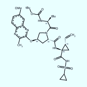 C=C[C@@H]1C[C@]1(NC(=O)[C@@H]1C[C@@H](Oc2nc3cc(OC)ccc3nc2C)CN1C(=O)[C@@H](NC(=O)OC(C)(C)C)C(C)(C)C)C(=O)NS(=O)(=O)C1CC1